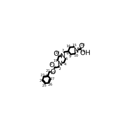 O=C(CN1CCN(CC2CCN(C(=O)O)CC2)C(=O)C1)OCc1ccccc1